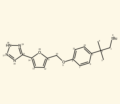 CC(C)(C)CC(C)(C)c1ccc(OCc2ccc(-c3nn[nH]n3)o2)cc1